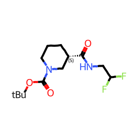 CC(C)(C)OC(=O)N1CCC[C@H](C(=O)NCC(F)F)C1